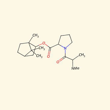 CNC(C)C(=O)N1CCCC1C(=O)OC1CC2CCC1(C)C2(C)C